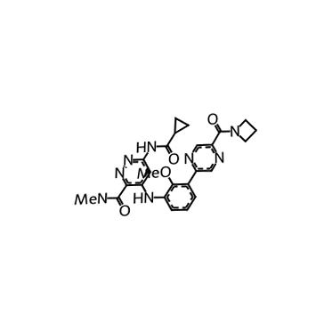 CNC(=O)c1nnc(NC(=O)C2CC2)cc1Nc1cccc(-c2cnc(C(=O)N3CCC3)cn2)c1OC